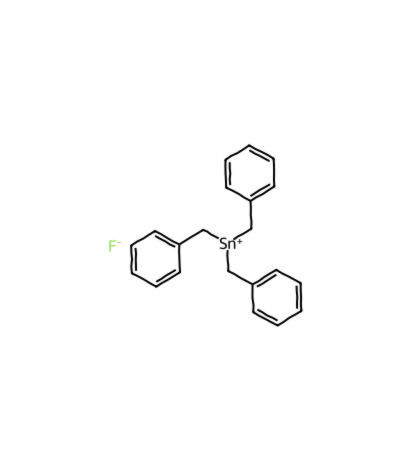 [F-].c1ccc([CH2][Sn+]([CH2]c2ccccc2)[CH2]c2ccccc2)cc1